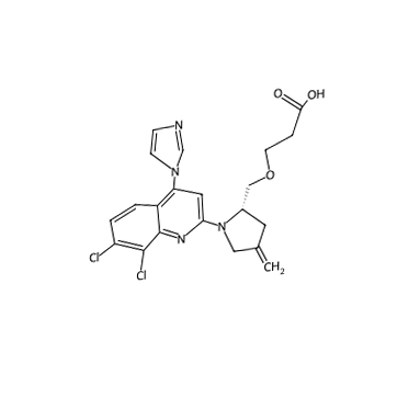 C=C1C[C@@H](COCCC(=O)O)N(c2cc(-n3ccnc3)c3ccc(Cl)c(Cl)c3n2)C1